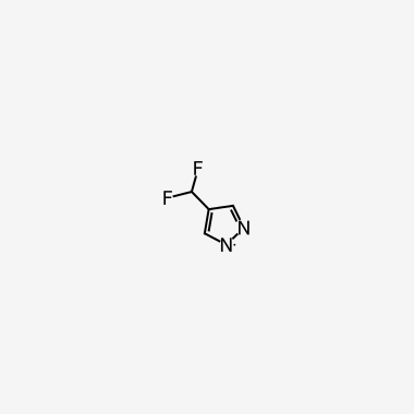 FC(F)C1=C[N]N=C1